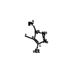 CCc1nnn(C(C)C)c1C